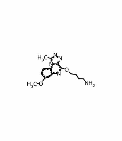 COc1ccc2c(c1)nc(OCCCCN)c1nnc(C)n12